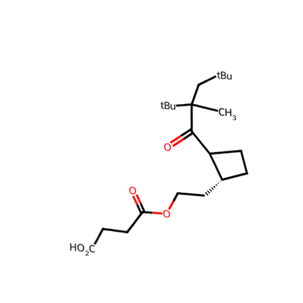 CC(C)(C)CC(C)(C(=O)C1CC[C@@H]1CCOC(=O)CCC(=O)O)C(C)(C)C